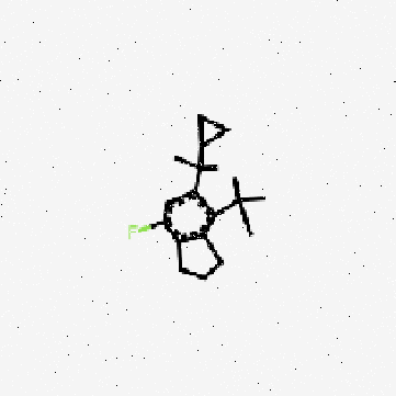 CC(C)(C)c1c(C(C)(C)C2CC2)cc(F)c2c1CCC2